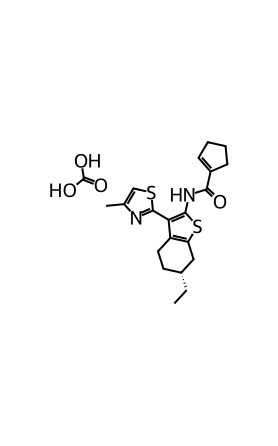 CC[C@@H]1CCc2c(sc(NC(=O)C3=CCCC3)c2-c2nc(C)cs2)C1.O=C(O)O